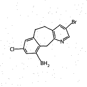 Bc1cc(Cl)cc2c1Cc1ncc(Br)cc1CC2